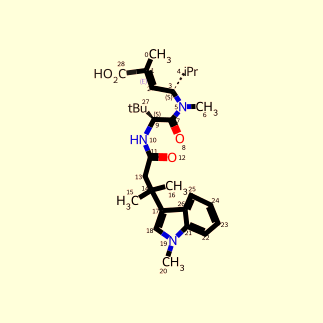 C/C(=C\[C@H](C(C)C)N(C)C(=O)[C@@H](NC(=O)CC(C)(C)c1cn(C)c2ccccc12)C(C)(C)C)C(=O)O